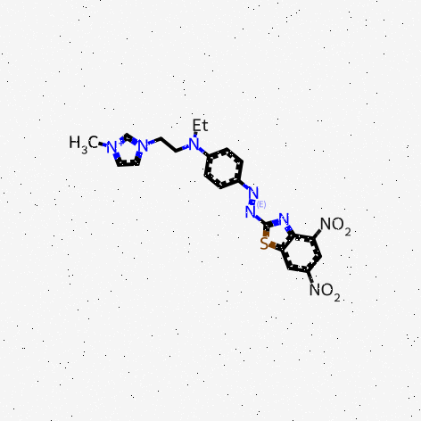 CCN(CCn1cc[n+](C)c1)c1ccc(/N=N/c2nc3c([N+](=O)[O-])cc([N+](=O)[O-])cc3s2)cc1